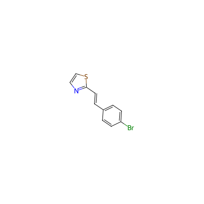 Brc1ccc(C=Cc2nccs2)cc1